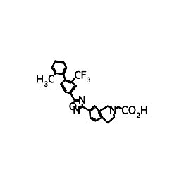 Cc1ccccc1-c1ccc(-c2nc(-c3ccc4c(c3)CN(CC(=O)O)CC4)no2)cc1C(F)(F)F